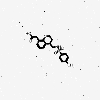 Cc1ccc(S(=O)(=O)NCC2CCOc3c(CC(=O)O)cccc32)cc1